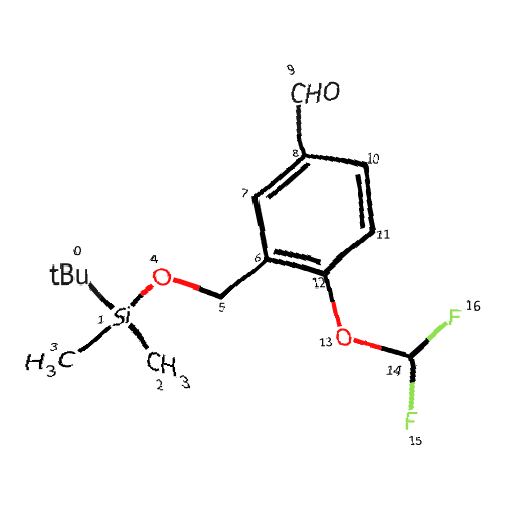 CC(C)(C)[Si](C)(C)OCc1cc(C=O)ccc1OC(F)F